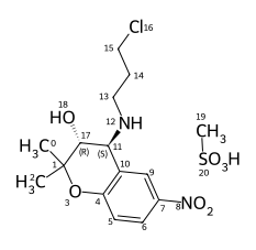 CC1(C)Oc2ccc([N+](=O)[O-])cc2[C@H](NCCCCl)[C@H]1O.CS(=O)(=O)O